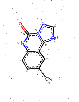 N#Cc1ccc2nc(=O)n3nc[nH]c3c2c1